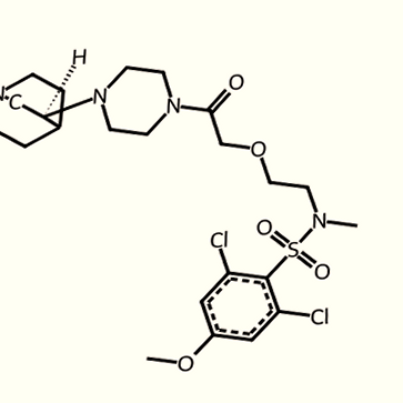 COc1cc(Cl)c(S(=O)(=O)N(C)CCOCC(=O)N2CCN([C@@H]3CN4CCC3CC4)CC2)c(Cl)c1